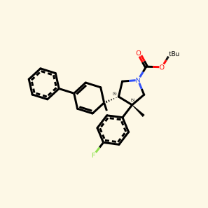 CC(C)(C)OC(=O)N1C[C@@H](C2(C)C=CC(c3ccccc3)=CC2)[C@@](C)(c2ccc(F)cc2)C1